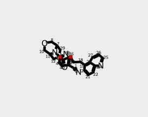 N#Cc1ccc(N2C3COCC2CN(C(=O)CCCc2cccc4ncccc24)C3)nc1